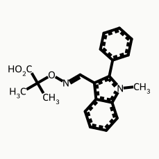 Cn1c(-c2ccccc2)c(C=NOC(C)(C)C(=O)O)c2ccccc21